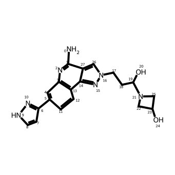 Nc1nc2cc(-c3cc[nH]n3)ccc2c2nn(CCC(O)N3CC(O)C3)cc12